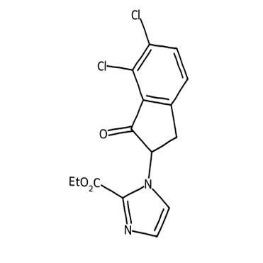 CCOC(=O)c1nccn1C1Cc2ccc(Cl)c(Cl)c2C1=O